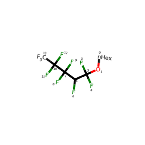 CCCCCCOC(F)(F)C(F)C(F)(F)C(F)(F)C(F)(F)F